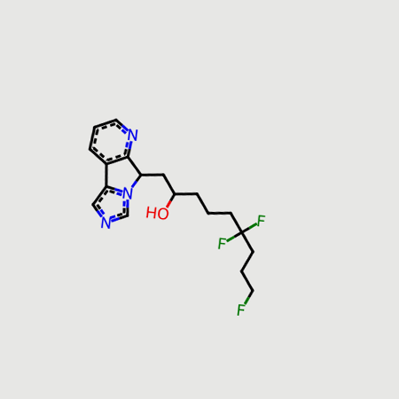 OC(CCCC(F)(F)CCCF)CC1c2ncccc2-c2cncn21